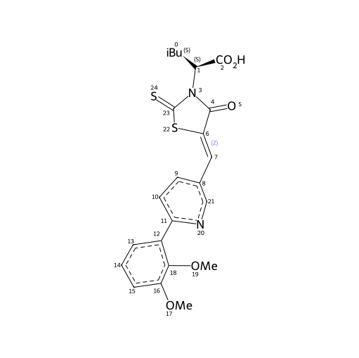 CC[C@H](C)[C@@H](C(=O)O)N1C(=O)/C(=C/c2ccc(-c3cccc(OC)c3OC)nc2)SC1=S